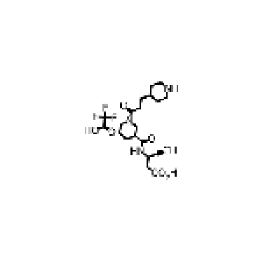 C#CC(CC(=O)O)NC(=O)[C@H]1CCCN(C(=O)CCC2CCNCC2)C1.O=C(O)C(F)(F)F